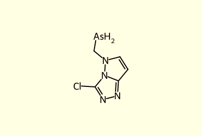 Clc1nnc2ccn(C[AsH2])n12